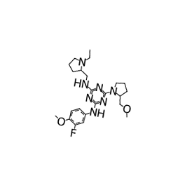 CCN1CCCC1CNc1nc(Nc2ccc(OC)c(F)c2)nc(N2CCCC2COC)n1